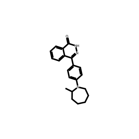 CC1CCCCCN1c1ccc(-c2n[nH]c(=O)c3ccccc23)cc1